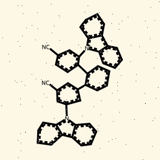 N#Cc1cc(-c2ccccc2-c2ccc(C#N)cc2-n2c3ccccc3c3ccccc32)cc(-n2c3ccccc3c3ccccc32)c1